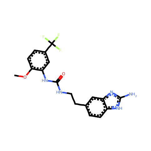 COc1ccc(C(F)(F)F)cc1NC(=O)NCCc1ccc2[nH]c(N)nc2c1